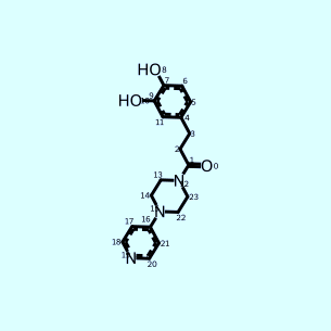 O=C(CCc1ccc(O)c(O)c1)N1CCN(c2ccncc2)CC1